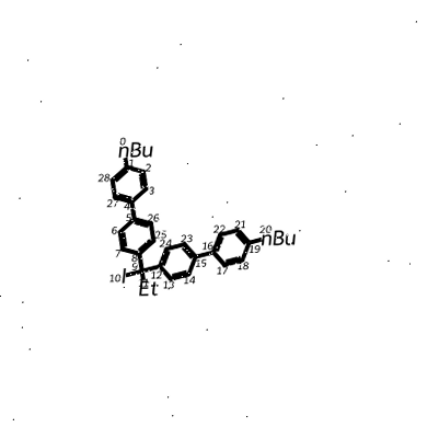 CCCCc1ccc(-c2ccc(C(I)(CC)c3ccc(-c4ccc(CCCC)cc4)cc3)cc2)cc1